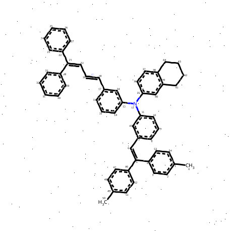 Cc1ccc(C(=Cc2cccc(N(c3cccc(/C=C/C=C(c4ccccc4)c4ccccc4)c3)c3ccc4c(c3)CCCC4)c2)c2ccc(C)cc2)cc1